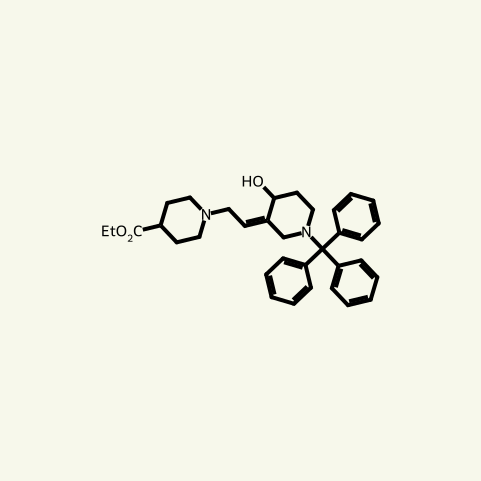 CCOC(=O)C1CCN(CC=C2CN(C(c3ccccc3)(c3ccccc3)c3ccccc3)CCC2O)CC1